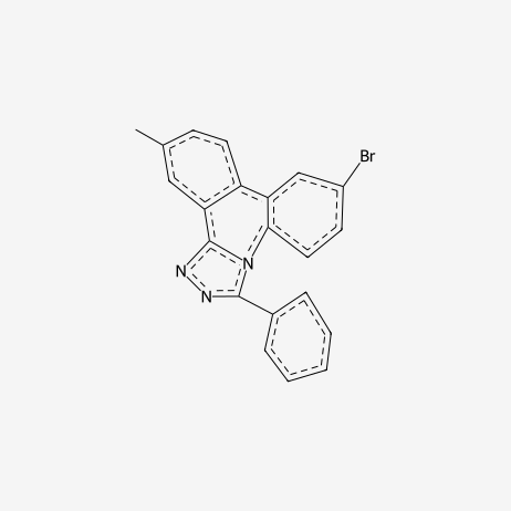 Cc1ccc2c3cc(Br)ccc3n3c(-c4ccccc4)nnc3c2c1